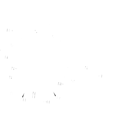 CC(C)[C@@H]1NC(=O)C2(/C=C/c3ccc4ccc(nc4c3)[C@@H](C)OC(=O)[C@@H]3CCCN(N3)C(=O)[C@H](C)NC1O)CCN(CC(F)(F)F)CC2